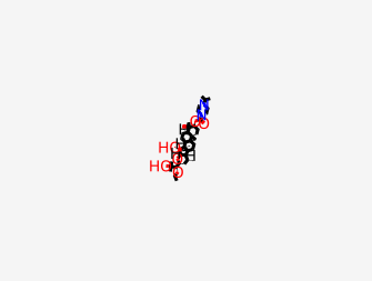 CCO[C@@H]([C@H]1C[C@@H](C)[C@H]2[C@H](O1)[C@H](O)[C@@]1(C)[C@@H]3CC[C@H]4C(C)(C)[C@@H](OC(=O)N5CCN(C(C)C)CC5)CC[C@@]45C[C@@]35CC[C@]21C)C(C)(C)O